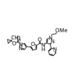 COCCn1cc(NC(=O)c2ccc(-c3cnn(C(=O)OC4(C)CC4)c3)o2)c(-c2ccccn2)n1